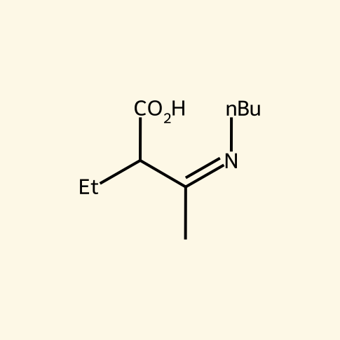 CCCCN=C(C)C(CC)C(=O)O